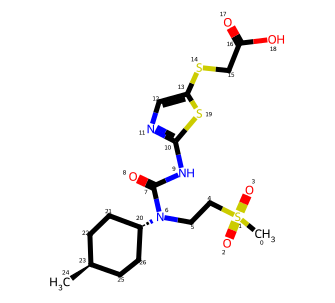 CS(=O)(=O)CCN(C(=O)Nc1ncc(SCC(=O)O)s1)[C@H]1CC[C@H](C)CC1